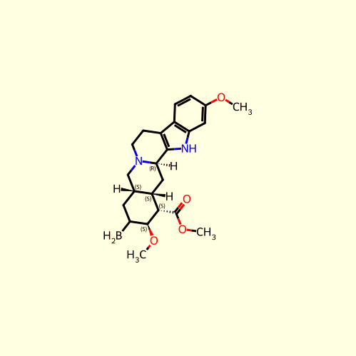 BC1C[C@@H]2CN3CCc4c([nH]c5cc(OC)ccc45)[C@H]3C[C@@H]2[C@H](C(=O)OC)[C@H]1OC